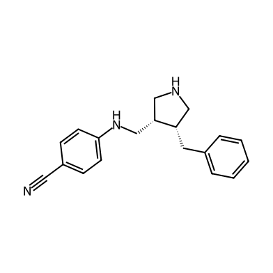 N#Cc1ccc(NC[C@@H]2CNC[C@@H]2Cc2ccccc2)cc1